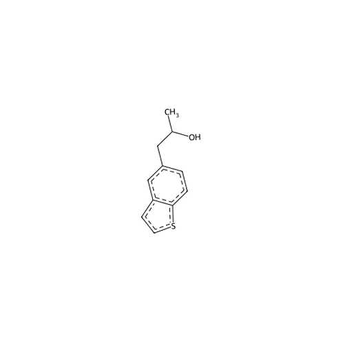 CC(O)Cc1ccc2sccc2c1